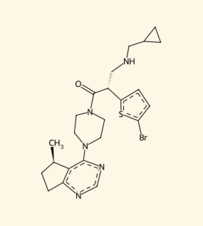 C[C@@H]1CCc2ncnc(N3CCN(C(=O)[C@H](CNCC4CC4)c4ccc(Br)s4)CC3)c21